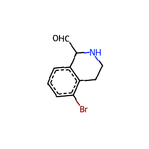 O=CC1NCCc2c(Br)cccc21